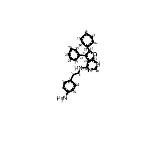 Nc1ccc(CCNc2ncnc3oc(-c4ccccc4)c(-c4ccccc4)c23)cc1